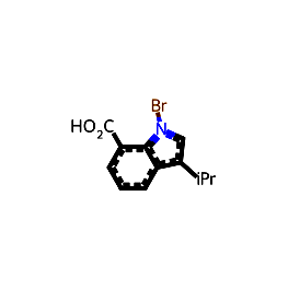 CC(C)c1cn(Br)c2c(C(=O)O)cccc12